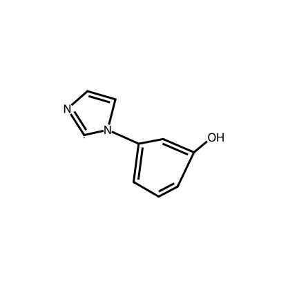 Oc1cccc(-n2[c]ncc2)c1